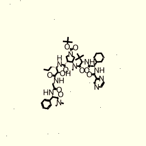 CCC[C@H](NC(=O)[C@@H]1CN(C(=O)OC(C)(C)C)C[C@@H]1N(C)C(=O)[C@@H](NC(=O)[C@@H](NC(=O)c1cnccn1)C1CCCCC1)C(C)(C)C)C(O)C(=O)NCC(=O)N[C@H](C(=O)N(C)C)c1ccccc1